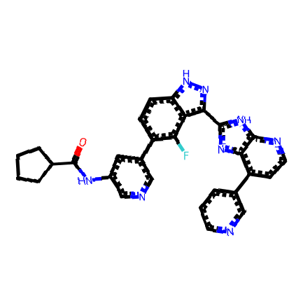 O=C(Nc1cncc(-c2ccc3[nH]nc(-c4nc5c(-c6cccnc6)ccnc5[nH]4)c3c2F)c1)C1CCCC1